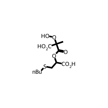 CCCCSCC(OC(=O)C(C)(OO)C(=O)O)C(=O)O